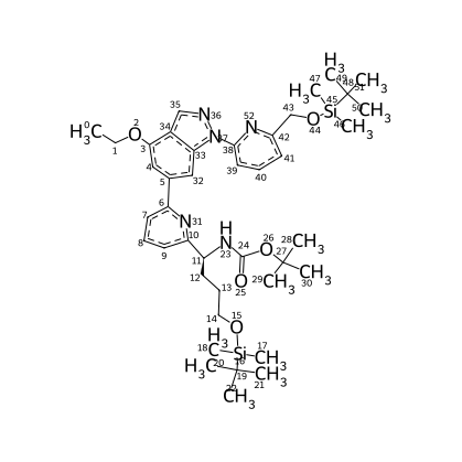 CCOc1cc(-c2cccc([C@H](CCCO[Si](C)(C)C(C)(C)C)NC(=O)OC(C)(C)C)n2)cc2c1cnn2-c1cccc(CO[Si](C)(C)C(C)(C)C)n1